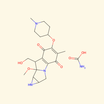 COC12C(CO)C3=C(C(=O)C(C)=C(OC4CCN(C)CC4)C3=O)N1CC1NC12.NC(=O)O